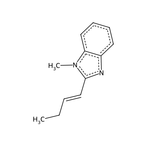 CC/C=C/c1nc2ccccc2n1C